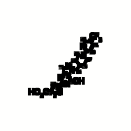 O=C(O)c1cnn(-c2nc(O)c3c(cnn3CC3CCN(c4ccc(C(F)(F)F)cn4)CC3)n2)c1